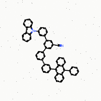 N#Cc1cc(-c2cccc(-c3cccc(-c4c5ccccc5c(-c5ccccc5)c5ccccc45)c3)c2)cc(-c2cccc(-n3c4ccccc4c4ccccc43)c2)c1